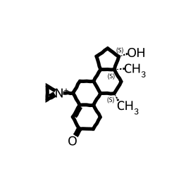 C[C@H]1C[C@@]2(C)C(CC[C@@H]2O)C2CC([N+]3=CC3)C3=CC(=O)CCC3C21